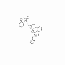 O=C(NCc1cccs1)c1ccccc1C1CCN(CCN2C(=O)COc3ccccc32)CC1